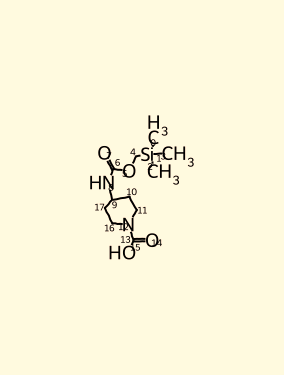 C[Si](C)(C)COC(=O)NC1CCN(C(=O)O)CC1